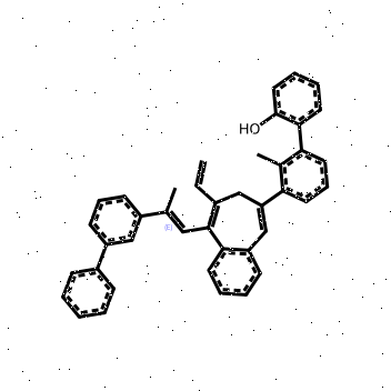 C=CC1=C(/C=C(\C)c2cccc(-c3ccccc3)c2)c2ccccc2C=C(c2cccc(-c3ccccc3O)c2C)C1